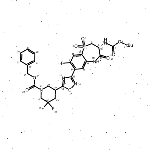 CC(C)(C)OC(=O)N[C@H]1CS(=O)(=O)c2cc(F)c(-c3noc(C4CN(C(=O)OCc5ccccc5)CC(F)(F)C4)n3)cc2NC1=O